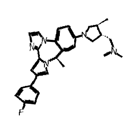 C[C@@H]1CN(c2ccc3c(c2)[C@@H](C)n2cc(-c4ccc(F)cc4)cc2-c2nccn2-3)C[C@H]1CN(C)C